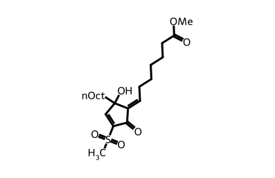 CCCCCCCCC1(O)C=C(S(C)(=O)=O)C(=O)C1=CCCCCCC(=O)OC